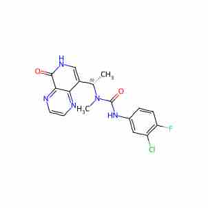 C[C@@H](c1c[nH]c(=O)c2nccnc12)N(C)C(=O)Nc1ccc(F)c(Cl)c1